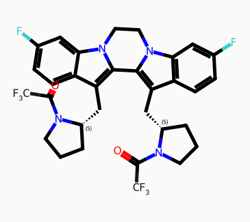 O=C(N1CCC[C@H]1Cc1c2n(c3cc(F)ccc13)CCn1c-2c(C[C@@H]2CCCN2C(=O)C(F)(F)F)c2ccc(F)cc21)C(F)(F)F